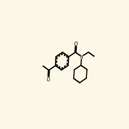 CCN(C(=O)c1ccc(C(C)=O)cc1)C1CCCCC1